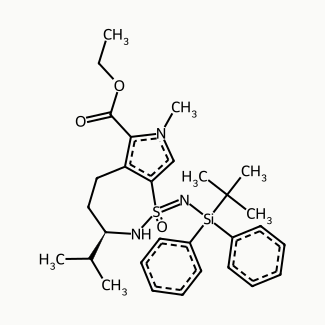 CCOC(=O)c1c2c(cn1C)S(=O)(=N[Si](c1ccccc1)(c1ccccc1)C(C)(C)C)N[C@@H](C(C)C)CC2